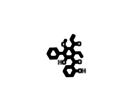 C=CC(=O)c1c(CC)c(C(=O)c2ccccc2O)c(O)c(-c2ccccc2)c1OC